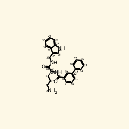 NCCC[C@H](NC(=O)c1cccc(-c2ccccc2)c1)C(=O)NCc1c[nH]c2ccccc12